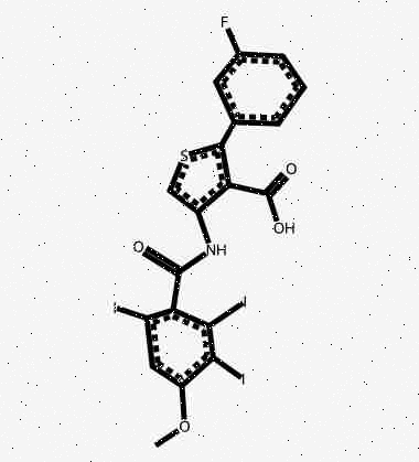 COc1cc(I)c(C(=O)Nc2csc(-c3cccc(F)c3)c2C(=O)O)c(I)c1I